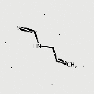 C=CCN[C]=S